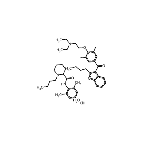 CCCCN1CCCCC1C(=O)Nc1c(C)cccc1C.CCCCc1oc2ccccc2c1C(=O)c1cc(I)c(OCCN(CC)CC)c(I)c1.Cl.O